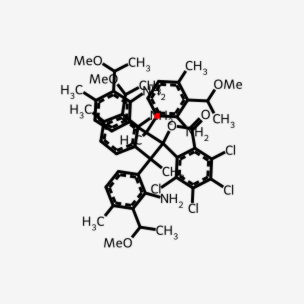 COC(C)c1c(C)ccc(C(C)(c2ccc(C)c(C(C)OC)c2N)C2(C(C)(c3ccc(C)c(C(C)OC)c3N)c3ccc(C)c(C(C)OC)c3N)OC(=O)c3c(Cl)c(Cl)c(Cl)c(Cl)c32)c1N